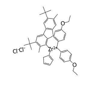 CCOc1ccc([C](c2ccc(OCC)cc2)=[Zr+2]([C]2=CC=CC2)[c]2c(C)c(C(C)(C)C)cc3c2Cc2cc(C)c(C(C)(C)C)cc2-3)cc1.[Cl-].[Cl-]